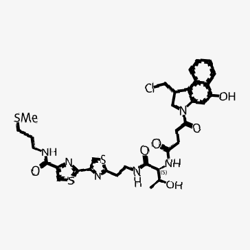 CSCCCNC(=O)c1csc(-c2csc(CCNC(=O)[C@@H](NC(=O)CCC(=O)N3CC(CCl)c4c3cc(O)c3ccccc43)C(C)O)n2)n1